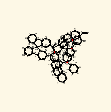 C=Cc1ccc(CC2(c3ccccc3)c3ccccc3-c3ccc(N(c4ccc(-c5ccccc5)cc4)c4ccc5c(c4)C4(c6ccccc6-c6ccc(N(c7ccc(-c8ccccc8)cc7)c7ccc8c(c7)C(C(c7ccccc7)c7ccc(C=C)cc7)c7ccccc7-8)cc64)c4ccccc4-5)cc32)cc1